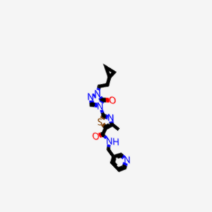 Cc1nc(-n2cnn(CCC3CC3)c2=O)sc1C(=O)NCc1cccnc1